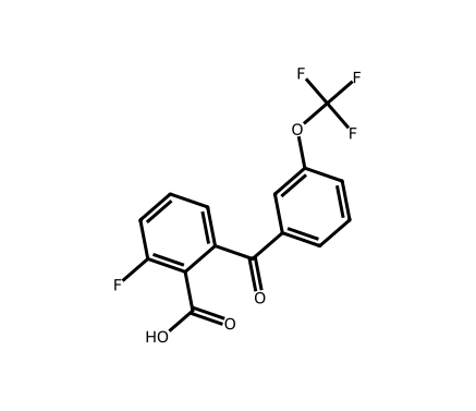 O=C(c1cccc(OC(F)(F)F)c1)c1cccc(F)c1C(=O)O